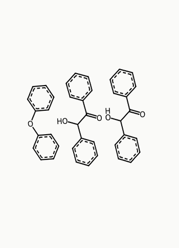 O=C(c1ccccc1)C(O)c1ccccc1.O=C(c1ccccc1)C(O)c1ccccc1.c1ccc(Oc2ccccc2)cc1